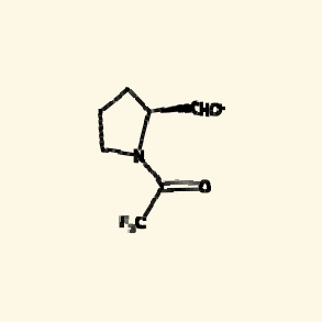 O=[C][C@@H]1CCCN1C(=O)C(F)(F)F